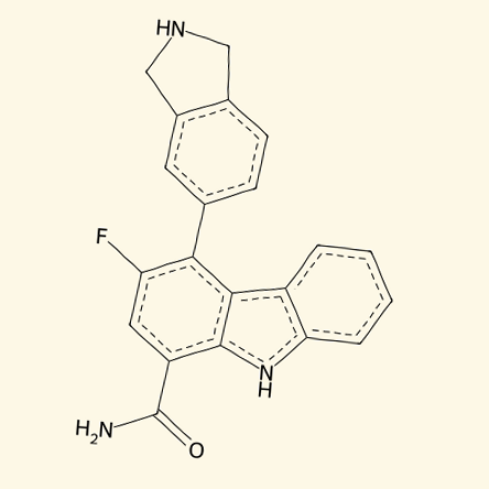 NC(=O)c1cc(F)c(-c2ccc3c(c2)CNC3)c2c1[nH]c1ccccc12